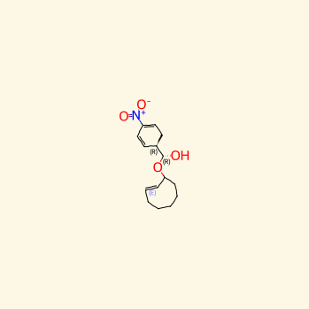 O=[N+]([O-])C1=CC[C@@H]([C@H](O)OC2/C=C/CCCCC2)C=C1